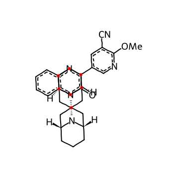 COc1ncc(-c2nc3ccccc3n([C@H]3C[C@H]4CCC[C@@H](C3)N4[C@H]3C[C@@H]4CCC[C@@H](C4)C3)c2=O)cc1C#N